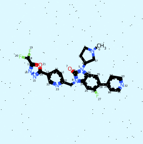 CN1CCC(n2c(=O)n(Cc3ccc(-c4nnc(C(F)F)o4)cn3)c3cc(F)c(-c4ccncc4)cc32)C1